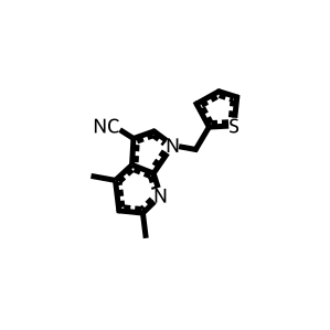 Cc1cc(C)c2c(C#N)cn(Cc3cccs3)c2n1